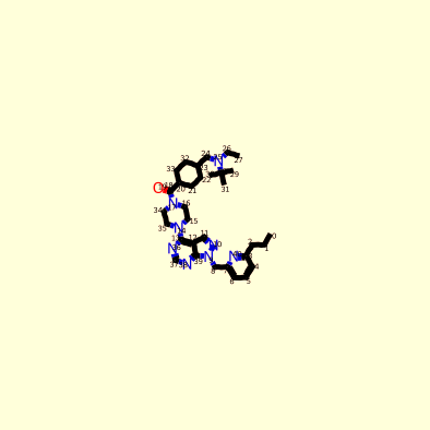 CCCc1cccc(Cn2ncc3c(N4CCN(C(=O)C5CCC(CN(CC)C(C)(C)C)CC5)CC4)ncnc32)n1